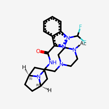 CC(=O)N1CCN(CCN2[C@@H]3CC[C@H]2CC(NC(=O)c2nn(C(F)F)c4ccccc24)C3)CC1